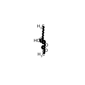 CCCCCCCCCCOc1ccc(C(=O)c2cccc(C(=O)OCC)c2)cc1CC(=O)O